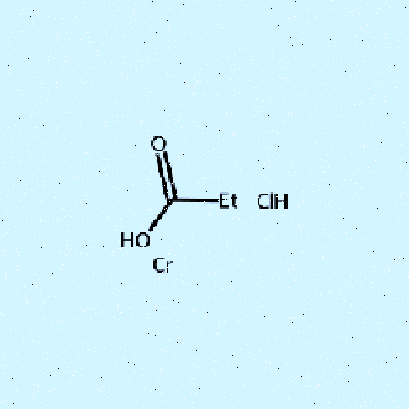 CCC(=O)O.Cl.[Cr]